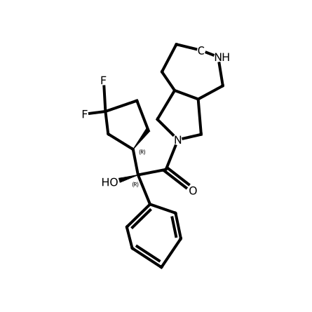 O=C(N1CC2CCCNCC2C1)[C@](O)(c1ccccc1)[C@@H]1CCC(F)(F)C1